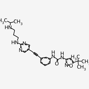 CC(C)NCCCNc1ncc(C#Cc2cccc(NC(=O)Nc3cc(C(C)(C)C)on3)c2)cn1